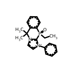 CCP1(=O)c2ccccc2C(C)(C)n2cc[n+](-c3ccccc3)c21